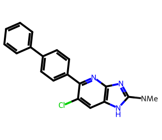 CNc1nc2nc(-c3ccc(-c4ccccc4)cc3)c(Cl)cc2[nH]1